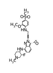 COc1cc(S(C)(=O)=O)ccc1NCC#Cn1nc2c(N[C@@H]3CCN(C)C[C@@H]3F)cccc2c1[C@@H]1CO1